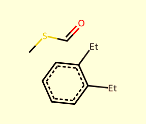 CCc1ccccc1CC.CSC=O